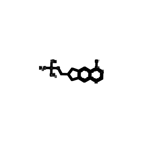 CC(C)(C)[Si](C)(C)OCC1Cc2cc3ncn[n+]([O-])c3cc2C1